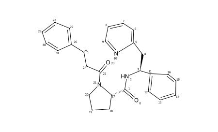 O=C(N[C@@H](Cc1ccccn1)c1ccccc1)[C@@H]1CCCN1C(=O)CCc1ccccc1